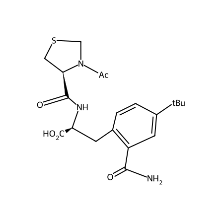 CC(=O)N1CSC[C@@H]1C(=O)N[C@@H](Cc1ccc(C(C)(C)C)cc1C(N)=O)C(=O)O